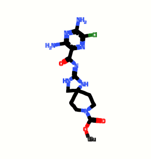 CC(C)(C)OC(=O)N1CCC2(CC1)CN/C(=N\C(=O)c1nc(Cl)c(N)nc1N)N2